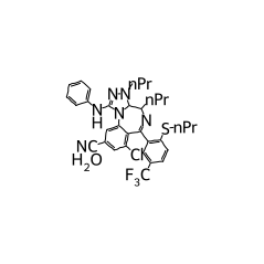 CCCSc1ccc(C(F)(F)F)cc1C1=NC(CCC)C2N(CCC)N=C(Nc3ccccc3)N2c2cc(C#N)cc(Cl)c21.O